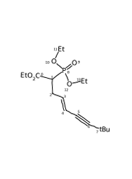 CCOC(=O)C(C/C=C/C#CC(C)(C)C)P(=O)(OCC)OCC